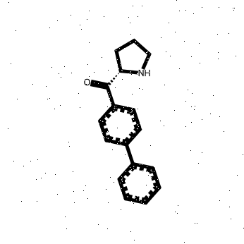 O=C(c1ccc(-c2ccccc2)cc1)[C@@H]1CCCN1